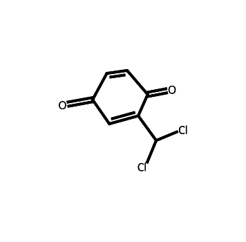 O=C1C=CC(=O)C(C(Cl)Cl)=C1